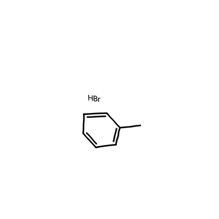 Br.Cc1ccccc1